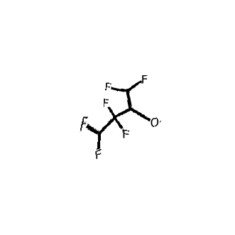 [O]C(C(F)F)C(F)(F)C(F)F